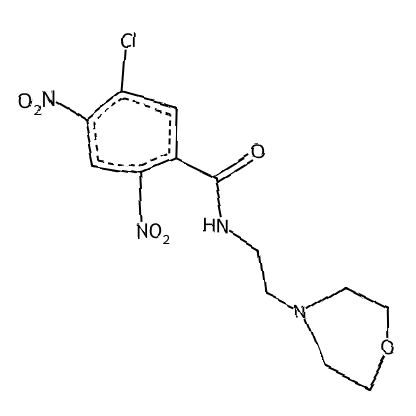 O=C(NCCN1CCOCC1)c1cc(Cl)c([N+](=O)[O-])cc1[N+](=O)[O-]